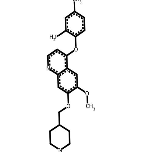 COc1cc2c(Oc3ccc(C)cc3P)ccnc2cc1OCC1CCNCC1